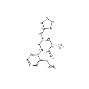 CCc1ccccc1N(CON=C1CCCC1)C(=O)C(C)Cl